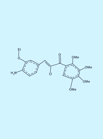 CCOc1cc(C=C(Cl)C(=O)c2cc(OC)c(OC)c(OC)c2OC)ccc1N